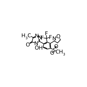 Cc1nnc(-c2ccc(S(C)(=O)=O)c(C3=NOCC3)c2C(F)(F)F)n(O)c1=O